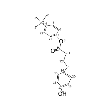 CC(C)(C)c1ccc(OC(=O)CCCc2ccc(O)cc2)cc1